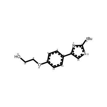 CC(C)(C)c1nc(-c2ccc(OCCO)cc2)cs1